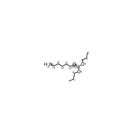 CCCO[SiH](OCCC)OCCCCCN